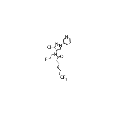 O=C(CCSCCC(F)(F)F)N(CCF)c1cn(-c2cccnc2)nc1Cl